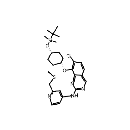 CSCc1cc(Nc2ncc3ccc(Cl)c(O[C@H]4CC[C@@H](O[Si](C)(C)C(C)(C)C)CC4)c3n2)ccn1